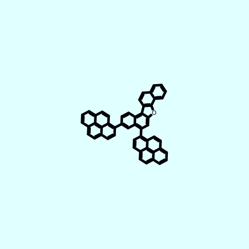 c1ccc2c(c1)ccc1c2oc2cc(-c3ccc4ccc5cccc6ccc3c4c56)c3cc(-c4ccc5ccc6cccc7ccc4c5c67)ccc3c21